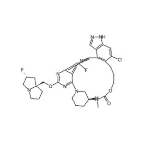 CN1C(=O)OCCCc2c(Cl)cc3[nH]ncc3c2-c2ncc3c(nc(OC[C@@]45CCCN4C[C@H](F)C5)nc3c2F)N2CCC[C@@H]1C2